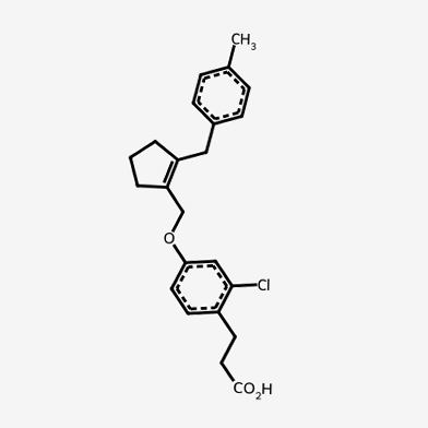 Cc1ccc(CC2=C(COc3ccc(CCC(=O)O)c(Cl)c3)CCC2)cc1